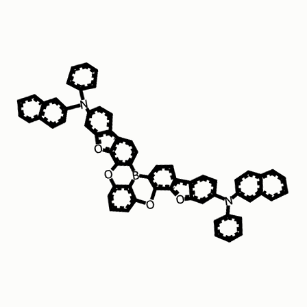 c1ccc(N(c2ccc3ccccc3c2)c2ccc3c(c2)oc2c4c(ccc23)B2c3ccc5c(oc6cc(N(c7ccccc7)c7ccc8ccccc8c7)ccc65)c3Oc3cccc(c32)O4)cc1